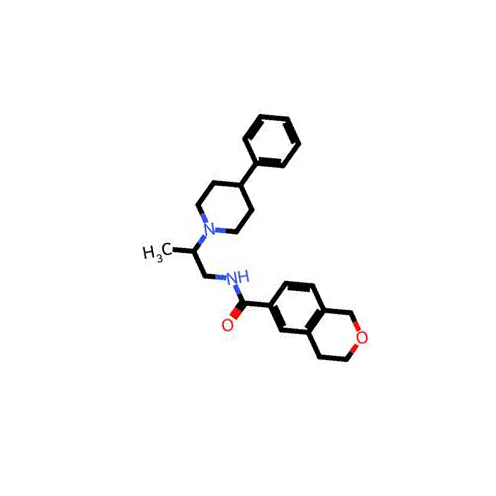 CC(CNC(=O)c1ccc2c(c1)CCOC2)N1CCC(c2ccccc2)CC1